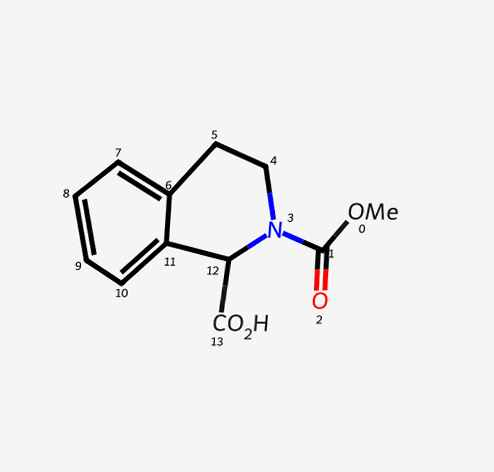 COC(=O)N1CCc2ccccc2C1C(=O)O